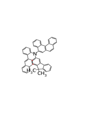 CC1(C)c2ccccc2-c2cc(N(c3ccccc3-c3ccc4ccccc4c3)c3cc4ccc5ccccc5c4c4ccccc34)ccc21